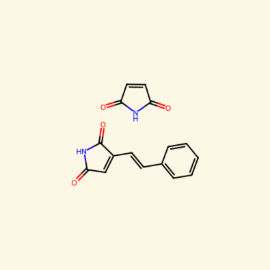 O=C1C=C(C=Cc2ccccc2)C(=O)N1.O=C1C=CC(=O)N1